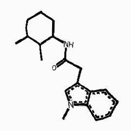 CC1CCCC(NC(=O)Cc2cn(C)c3ccccc23)C1C